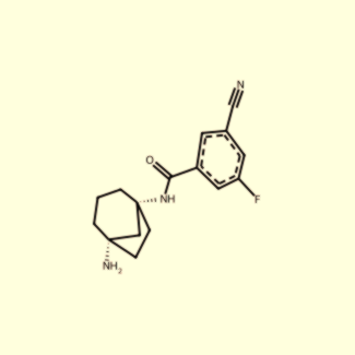 N#Cc1cc(F)cc(C(=O)N[C@]23CCC[C@](N)(CC2)C3)c1